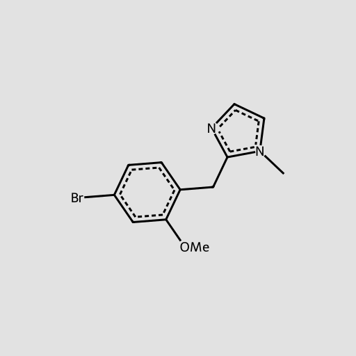 COc1cc(Br)ccc1Cc1nccn1C